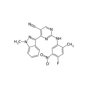 Cc1cc(F)c([N+](=O)[O-])cc1Nc1ncc(C#N)c(-c2nn(C)c3ccccc23)n1